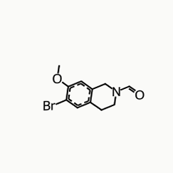 COc1cc2c(cc1Br)CCN(C=O)C2